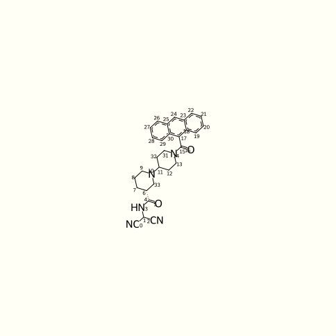 N#CC(C#N)NC(=O)[C@@H]1CCCN(C2CCN(C(=O)c3c4ccccc4cc4ccccc34)CC2)C1